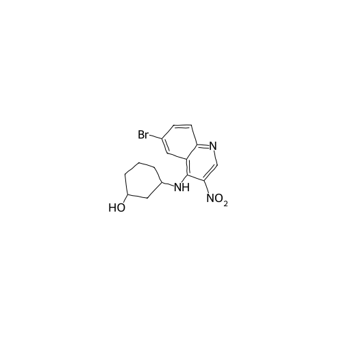 O=[N+]([O-])c1cnc2ccc(Br)cc2c1NC1CCCC(O)C1